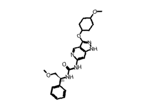 COC[C@@H](NC(=O)Nc1cc2[nH]nc(OC3CCC(OC)CC3)c2cn1)c1ccccc1